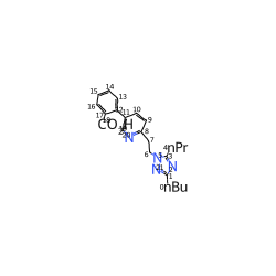 CCCCc1nc(CCC)n(CCc2ccc(-c3ccccc3C(=O)O)cn2)n1